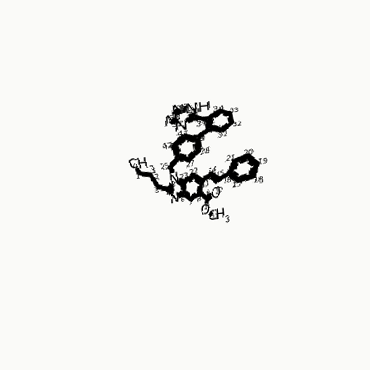 CCCCc1nc2cc(C(=O)OC)c(C=Cc3ccccc3)cc2n1Cc1ccc(-c2ccccc2-c2nnn[nH]2)cc1